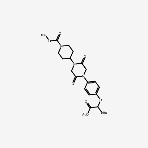 CCCCC(Oc1ccc(N2CC(=O)N(C3CCN(C(=O)OC(C)(C)C)CC3)CC2=O)cc1)C(=O)OC(C)=O